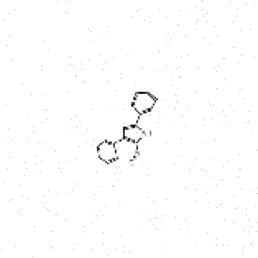 O=Nc1[nH]c(-c2ccccc2)cc1-c1ccccc1